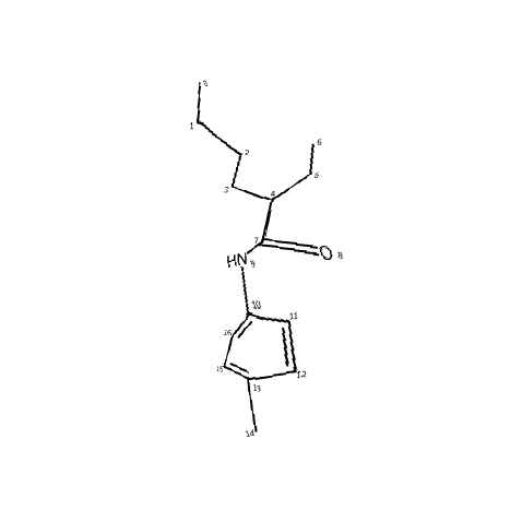 CCCCC(CC)C(=O)Nc1ccc(C)cc1